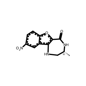 C[C@@H]1CNc2c(oc3ccc([N+](=O)[O-])cc23)C(=O)N1